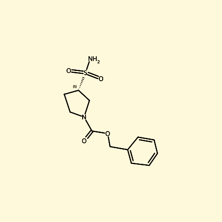 NS(=O)(=O)[C@H]1CCN(C(=O)OCc2ccccc2)C1